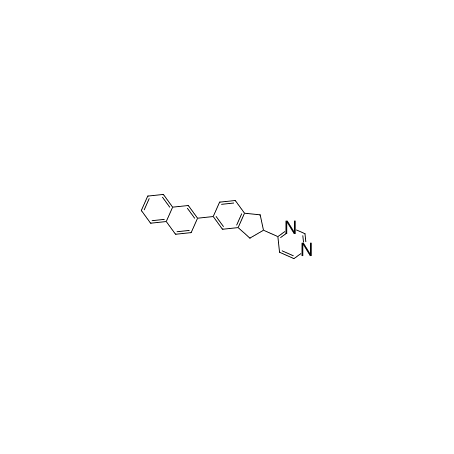 c1ccc2cc(-c3ccc4c(c3)CC(c3ccncn3)C4)ccc2c1